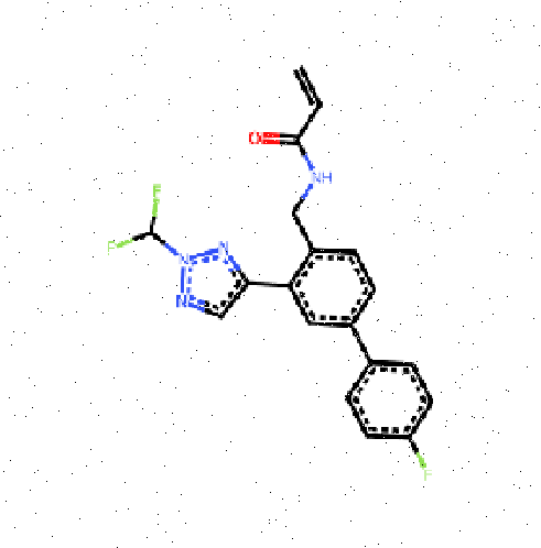 C=CC(=O)NCc1ccc(-c2ccc(F)cc2)cc1-c1cnn(C(F)F)n1